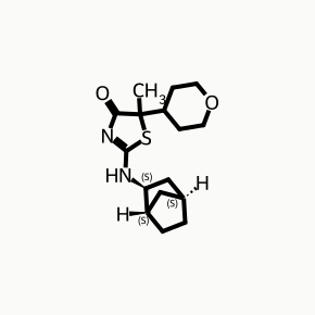 CC1(C2CCOCC2)SC(N[C@H]2C[C@H]3CC[C@H]2C3)=NC1=O